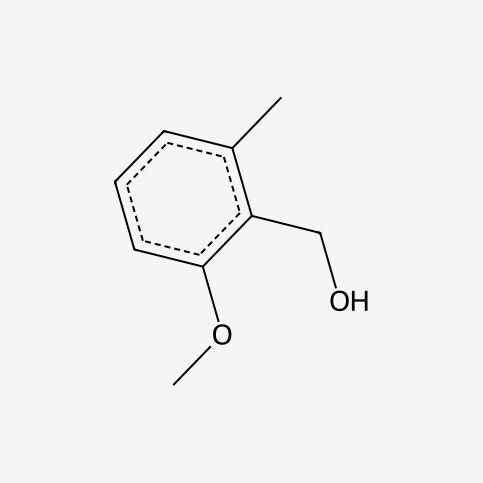 COc1cccc(C)c1CO